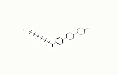 CCCCC1CCC(C2CCC(c3ccc(C(=O)C(F)(F)C(F)(F)C(F)(F)C(F)(F)C(F)(F)C(F)(F)C(F)(F)F)cc3)CC2)CC1